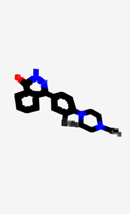 CC(=O)Nc1cc(-c2n[nH]c(=O)c3ccccc23)ccc1N1CCN(C)CC1